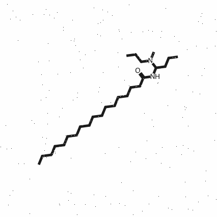 CCCCCCCCCCCCCCCCCC(=O)NC(CCC)N(C)CCC